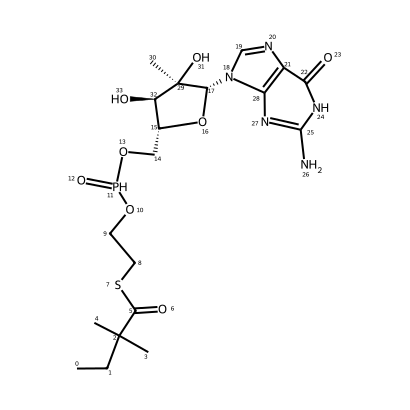 CCC(C)(C)C(=O)SCCO[PH](=O)OC[C@H]1O[C@@H](n2cnc3c(=O)[nH]c(N)nc32)[C@](C)(O)[C@@H]1O